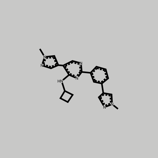 Cn1cc(-c2cccc(-c3ncc(-c4cnn(C)c4)c(NC4CCC4)n3)c2)cn1